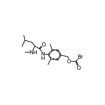 CNC(CC(C)C)C(=O)Nc1c(C)cc(COC(=O)Br)cc1C